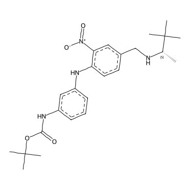 C[C@H](NCc1ccc(Nc2cccc(NC(=O)OC(C)(C)C)c2)c([N+](=O)[O-])c1)C(C)(C)C